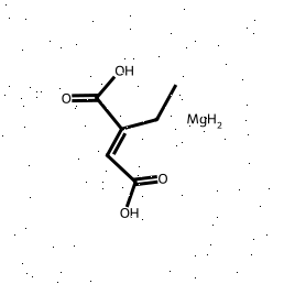 CC/C(=C\C(=O)O)C(=O)O.[MgH2]